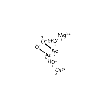 CC(=O)[O-].CC(=O)[O-].[Ca+2].[Mg+2].[OH-].[OH-]